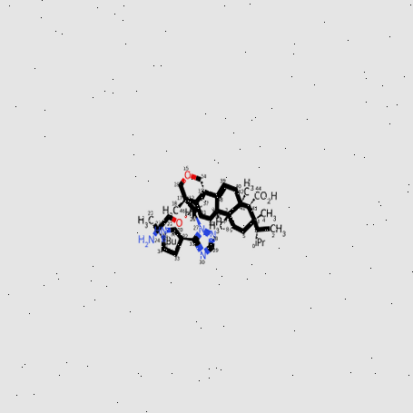 CC(C)[C@@H](C)[C@@]1(C)CC[C@]2(C)[C@H]3CC[C@@H]4[C@@]5(COC[C@@]4(C)[C@@H](OC[C@](C)(N)C(C)(C)C)[C@H](n4ncnc4[C@H]4CCNC4)C5)C3=CC[C@@]2(C)[C@@H]1C(=O)O